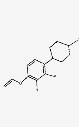 C=COc1ccc(C2CCC(I)CC2)c(F)c1F